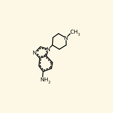 CN1CCC(n2cnc3cc(N)ccc32)CC1